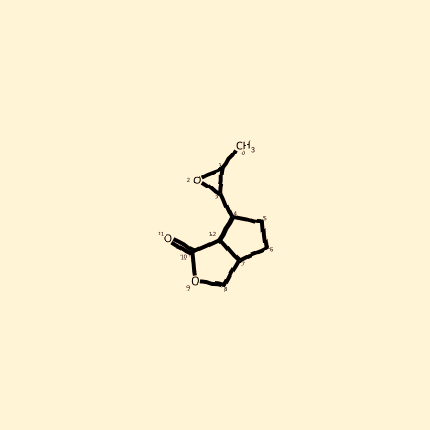 CC1OC1C1CCC2COC(=O)C21